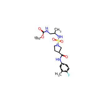 Cc1cc(NC(=O)C2CCN(S(=O)(=O)NC(C)CNC(=O)OC(C)(C)C)C2)ccc1F